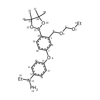 CCOCOCc1cc(Oc2ccc(N(P)CC)cc2)ccc1B1OC(C)(C)C(C)(C)O1